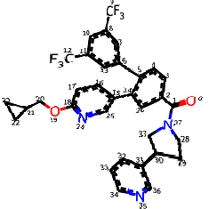 O=C(c1ccc(-c2cc(C(F)(F)F)cc(C(F)(F)F)c2)c(-c2ccc(OCC3CC3)nc2)c1)N1CCC(c2cccnc2)C1